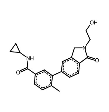 Cc1ccc(C(=O)NC2CC2)cc1-c1ccc2c(c1)CN(CCO)C2=O